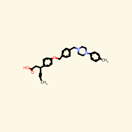 CC#CC(CC(=O)O)c1ccc(OCc2ccc(CN3CCN(c4ccc(C)cc4)CC3)cc2)cc1